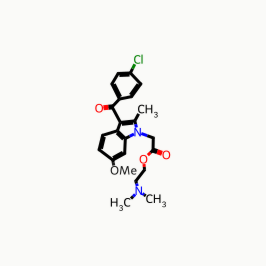 COc1ccc2c(C(=O)c3ccc(Cl)cc3)c(C)n(CC(=O)OCCN(C)C)c2c1